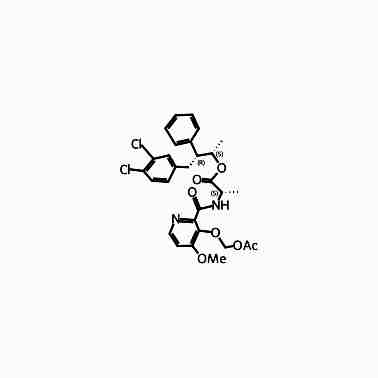 COc1ccnc(C(=O)N[C@@H](C)C(=O)O[C@@H](C)[C@H](Cc2ccc(Cl)c(Cl)c2)c2ccccc2)c1OCOC(C)=O